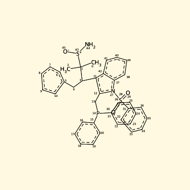 CC(C)(C(Cc1ccccc1)c1c(CP(c2ccccc2)c2ccccc2)n(S(=O)(=O)c2ccccc2)c2ccccc12)[S+](N)[O-]